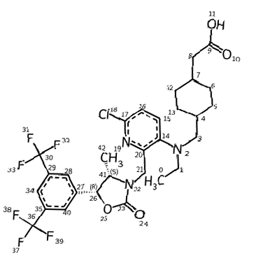 CCN(CC1CCC(CC(=O)O)CC1)c1ccc(Cl)nc1CN1C(=O)O[C@H](c2cc(C(F)(F)F)cc(C(F)(F)F)c2)[C@@H]1C